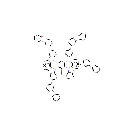 N#Cc1c(-n2c3ccccc3c3cc(-c4ccc5oc6ccccc6c5c4)ccc32)c(-n2c3ccccc3c3cc(-c4ccc5oc6ccccc6c5c4)ccc32)cc(-n2c3ccccc3c3cc(-c4ccc5oc6ccccc6c5c4)ccc32)c1-n1c2ccccc2c2cc(-c3ccc4oc5ccccc5c4c3)ccc21